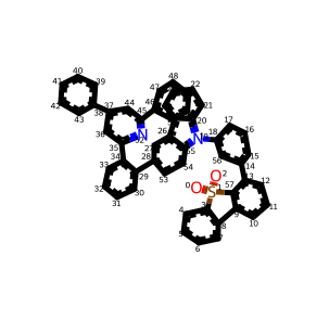 O=S1(=O)c2ccccc2-c2cccc(-c3cccc(-n4c5ccccc5c5cc(-c6ccccc6-c6cc(-c7ccccc7)cc(-c7ccccc7)n6)ccc54)c3)c21